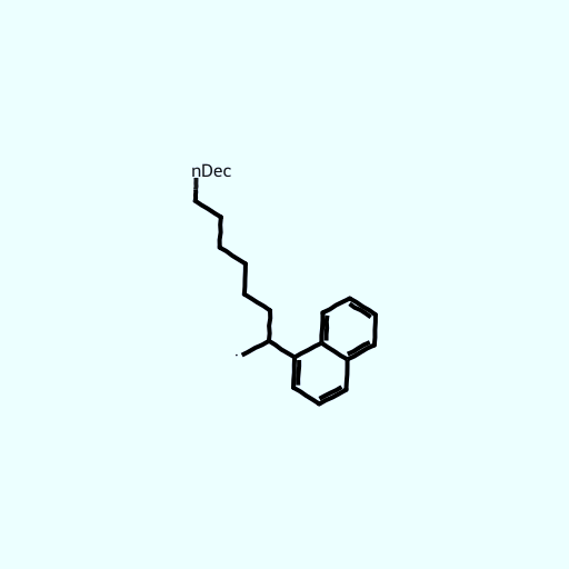 [CH2]C(CCCCCCCCCCCCCCCC)c1cccc2ccccc12